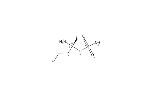 CCC[C@](C)(N)OS(=O)(=O)O